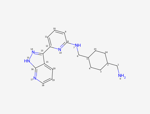 NCC1CCC(CNc2cccc(-c3n[nH]c4ncccc34)n2)CC1